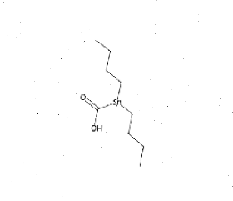 CCC[CH2][Sn]([CH2]CCC)[C](=O)O